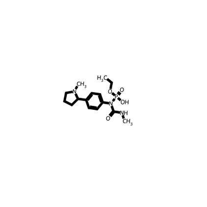 CCOP(=O)(O)N(C(=O)NC)c1ccc(C2CCCN2C)cc1